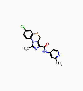 Cc1cc(NC(=O)c2nc(C)n3c2CSc2cc(Cl)ccc2-3)ccn1